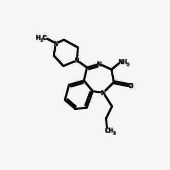 CCCN1C(=O)C(N)N=C(N2CCN(C)CC2)c2ccccc21